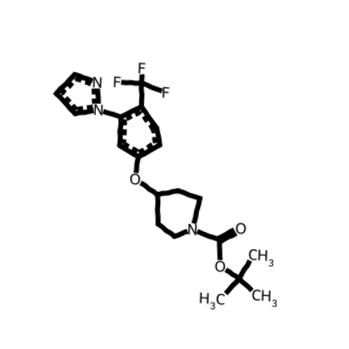 CC(C)(C)OC(=O)N1CCC(Oc2ccc(C(F)(F)F)c(-n3cccn3)c2)CC1